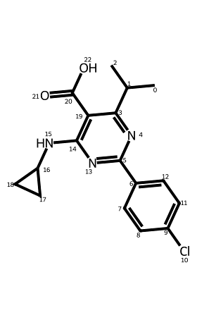 CC(C)c1nc(-c2ccc(Cl)cc2)nc(NC2CC2)c1C(=O)O